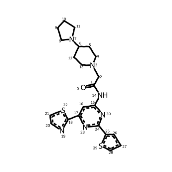 O=C(CN1CCC(N2CCCC2)CC1)Nc1cc(-c2nccs2)nc(-c2cccs2)n1